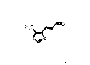 Cc1scnc1C=CC=O